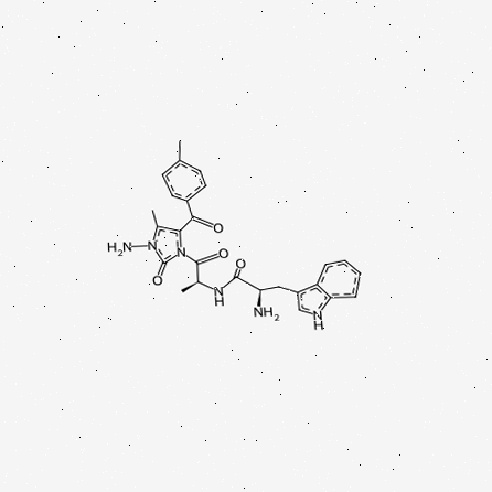 Cc1ccc(C(=O)c2c(C)n(N)c(=O)n2C(=O)[C@H](C)NC(=O)[C@H](N)Cc2c[nH]c3ccccc23)cc1